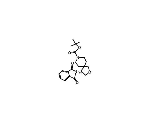 CC(C)(C)OC(=O)N1CCC2(CC1)COC[C@@H]2N1C(=O)c2ccccc2C1=O